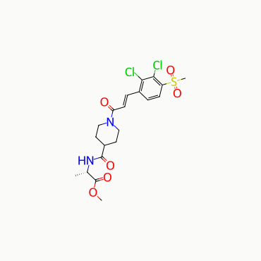 COC(=O)[C@H](C)NC(=O)C1CCN(C(=O)/C=C/c2ccc(S(C)(=O)=O)c(Cl)c2Cl)CC1